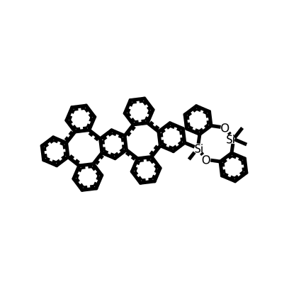 C[Si]1(C)Oc2ccccc2[Si](C)(c2ccc3c4ccccc4c4cc5c6ccccc6c6ccccc6c6ccccc6c5cc4c4ccccc4c3c2)Oc2ccccc21